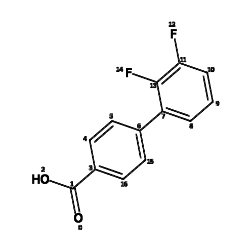 O=C(O)c1ccc(-c2cccc(F)c2F)cc1